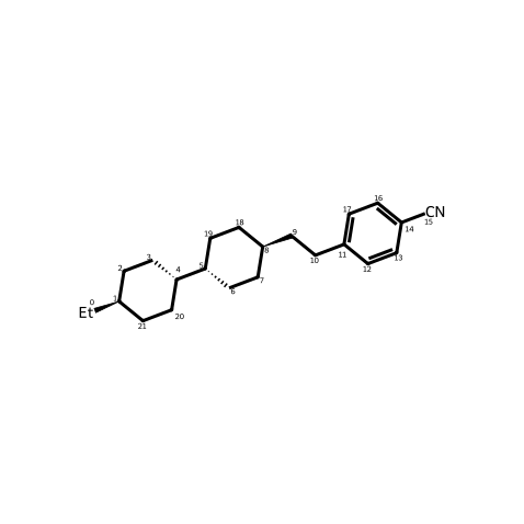 CC[C@H]1CC[C@H]([C@H]2CC[C@H](CCc3ccc(C#N)cc3)CC2)CC1